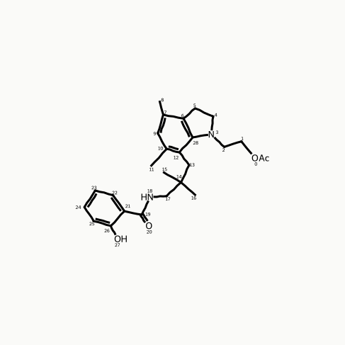 CC(=O)OCCN1CCc2c(C)cc(C)c(CC(C)(C)CNC(=O)c3ccccc3O)c21